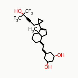 C[C@]12CCC/C(=C\C=C3\CC(O)C[C@H](O)C3)C1CC=C2C1(CC#CC(O)(C(F)(F)F)C(F)(F)F)CC1